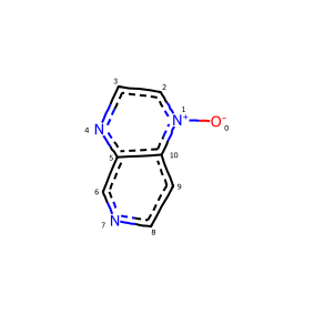 [O-][n+]1ccnc2cnccc21